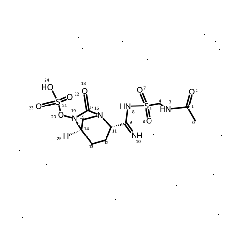 CC(=O)NCS(=O)(=O)NC(=N)[C@@H]1CC[C@@H]2CN1C(=O)N2OS(=O)(=O)O